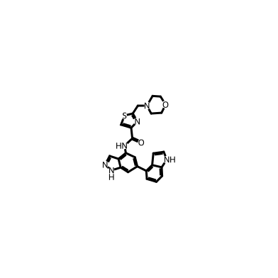 O=C(Nc1cc(-c2cccc3[nH]ccc23)cc2[nH]ncc12)c1csc(CN2CCOCC2)n1